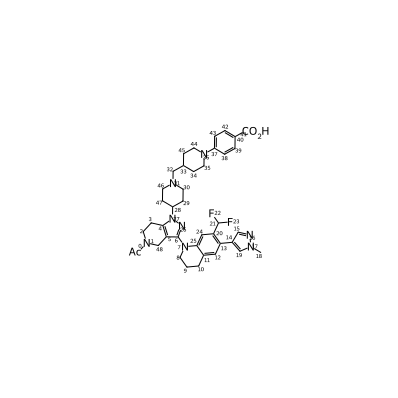 CC(=O)N1CCc2c(c(N3CCCc4cc(-c5cnn(C)c5)c(C(F)F)cc43)nn2C2CCN(CC3CCN(c4ccc(C(=O)O)cc4)CC3)CC2)C1